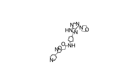 O=C(Cc1cc(-c2ccncc2)no1)Nc1ccc(-c2nc3c(N4CCOCC4)ncnc3[nH]2)cc1